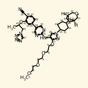 COCCOCCOCCOc1nn(C2CCC(N3[C@@H]4CC[C@H]3COC4)CC2)cc1Nc1ncc(-c2ccc(C#N)c(OC(C)Cn3cnnn3)c2)cn1